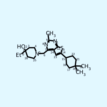 CCC1(O)CCN(Cc2nc(C)nc3sc(C4CCC(C)(C)CC4)cc23)CC1